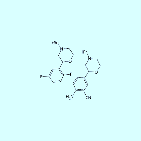 CC(C)(C)N1CCOC(c2cc(F)ccc2F)C1.CC(C)N1CCOC(c2ccc(N)c(C#N)c2)C1